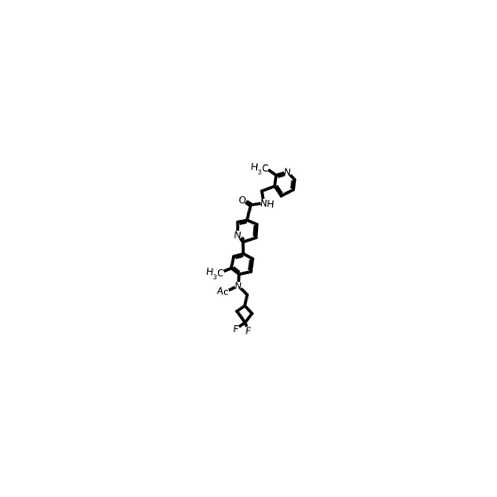 CC(=O)N(CC1CC(F)(F)C1)c1ccc(-c2ccc(C(=O)NCc3cccnc3C)cn2)cc1C